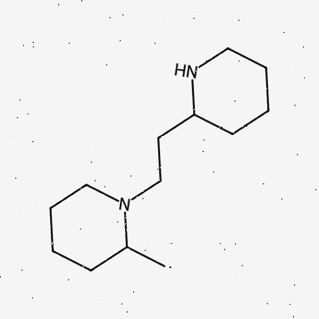 [CH2]C1CCCCN1CCC1CCCCN1